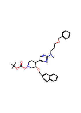 CN(CCCOCc1ccccc1)c1ncc(C2CCN(OC(=O)OC(C)(C)C)CC2OCc2ccc3ccccc3c2)cn1